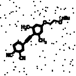 CCCCOCCOc1cc(C)c(C#Cc2ccc(C#N)c(C#N)c2)c(C)c1